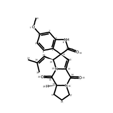 COc1ccc2c(c1)NC(=O)[C@@]21C=C2C(=O)N3CCC[C@H]3C(=O)N2[C@H]1C=C(C)C